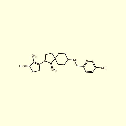 C=C1CCC(N2CCC3(CCC(NCc4ccc(N)nn4)CC3)C2=C)=C1C